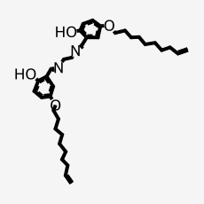 C=CCCCCCCCCOc1ccc(O)c(C=NCCN=Cc2cc(OCCCCCCCCC=C)ccc2O)c1